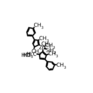 CC1=[C]([Zr]([CH3])([CH3])(=[SiH2])[C]2=C(C)C(c3cccc(C)c3)=CC2C)C(C)C=C1c1cccc(C)c1.Cl.Cl